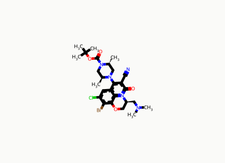 C[C@@H]1CN(c2c(C#N)c(=O)n3c4c(c(Br)c(Cl)cc24)OC[C@@H]3CN(C)C)[C@@H](C)CN1C(=O)OC(C)(C)C